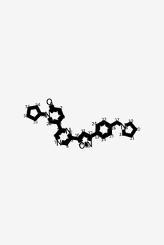 O=c1ccc(-c2cncc(-c3cc(-c4ccc(CN5CCCC5)cc4)no3)n2)cn1C1CCCC1